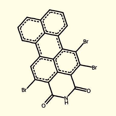 O=C1NC(=O)c2c(Br)c(Br)c3c4cccc5cccc(c6cc(Br)c1c2c63)c54